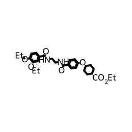 CCOc1ccc(C(=O)NCCNC(=O)c2ccc(O[C@H]3CC[C@@H](C(=O)OCC)CC3)cc2)cc1OCC